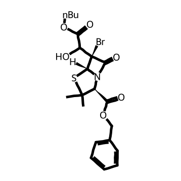 CCCCOC(=O)C(O)[C@]1(Br)C(=O)N2[C@@H](C(=O)OCc3ccccc3)C(C)(C)S[C@@H]21